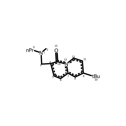 CCCN(C)Cc1ccc2cc(C(C)(C)C)ccn2c1=O